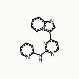 c1ccc(Nc2nccc(-c3cnc4ccccn34)n2)nc1